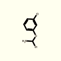 CCC(N)Oc1cccc(Cl)c1